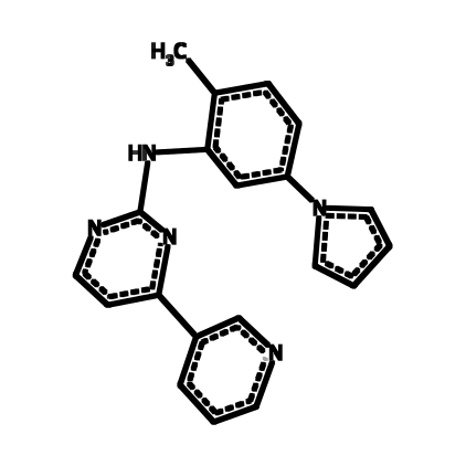 Cc1ccc(-n2cccc2)cc1Nc1nccc(-c2cccnc2)n1